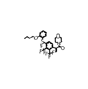 C=C(C(=O)N1CCOCC1)c1ccc(Sc2ccccc2OCCCC)c(C(F)(F)F)c1C(F)(F)F